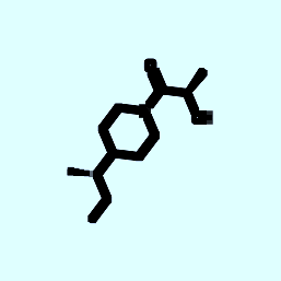 CC[C@H](C)C1CCN(C(=O)[C@@H](C)O)CC1